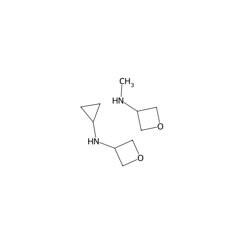 C1CC1NC1COC1.CNC1COC1